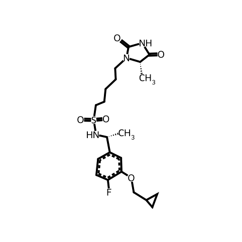 C[C@@H](NS(=O)(=O)CCCCCN1C(=O)NC(=O)[C@@H]1C)c1ccc(F)c(OCC2CC2)c1